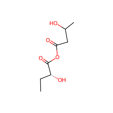 CC[C@@H](O)C(=O)OC(=O)CC(C)O